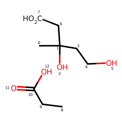 CC(O)(CCO)CC(=O)O.CCC(=O)O